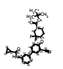 CC(C)(C)OC(=O)N1CC[C@H](Oc2ccc(-c3cc(NC(=O)C4CC4)ncn3)cc2C#N)C(F)(F)C1